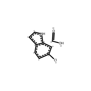 Clc1ccc2cc[nH]c2c1.O=CO